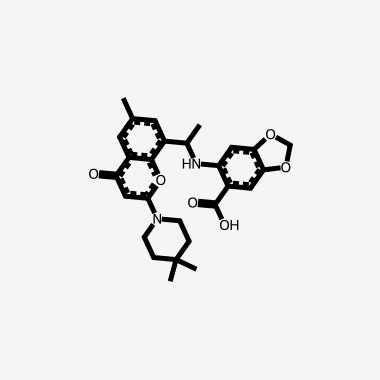 Cc1cc(C(C)Nc2cc3c(cc2C(=O)O)OCO3)c2oc(N3CCC(C)(C)CC3)cc(=O)c2c1